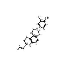 CC=C[C@H]1CCc2c(ccc3c2CC[C@H](c2ccc(Cl)c(F)c2)C3)C1